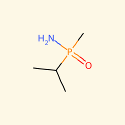 CC(C)P(C)(N)=O